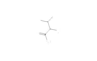 CC(C)C(P)C(N)=O